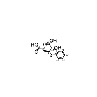 O=C(O)C=C[C@H](Cc1ccccc1)[C@@H](O)C(=O)O